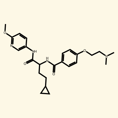 COc1ccc(NC(=O)C(CCC2CC2)NC(=O)c2ccc(OCCN(C)C)cc2)cn1